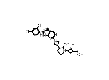 C[C@@H](Nc1nc(N2CC(C3CCCN(C4CC(CO)C4)C3C(=O)O)C2)ncc1Cl)c1ccc(Cl)cc1Cl